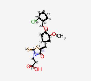 COc1cc(/C=C2\SC(=S)N(CCC(=O)O)C2=O)ccc1OCc1ccccc1Cl